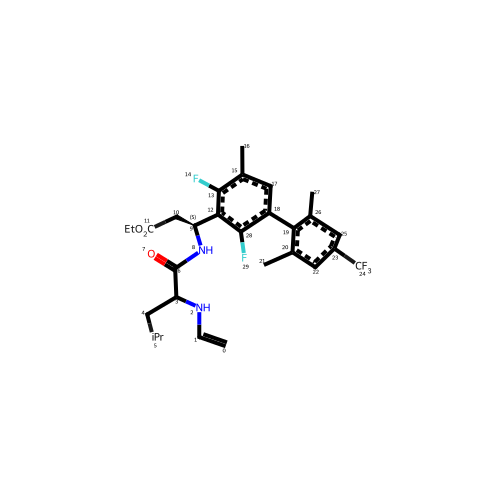 C=CNC(CC(C)C)C(=O)N[C@@H](CC(=O)OCC)c1c(F)c(C)cc(-c2c(C)cc(C(F)(F)F)cc2C)c1F